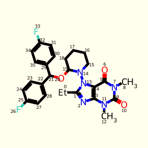 CCc1nc2c(c(=O)n(C)c(=O)n2C)n1N1CCCCC1OC(c1ccc(F)cc1)c1ccc(F)cc1